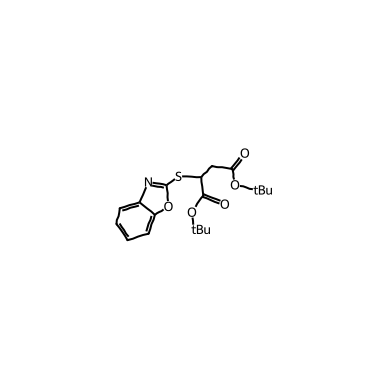 CC(C)(C)OC(=O)CC(Sc1nc2ccccc2o1)C(=O)OC(C)(C)C